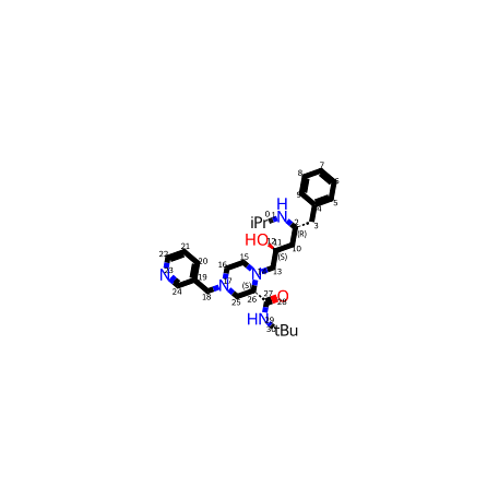 CC(C)N[C@H](Cc1ccccc1)C[C@H](O)CN1CCN(Cc2cccnc2)C[C@H]1C(=O)NC(C)(C)C